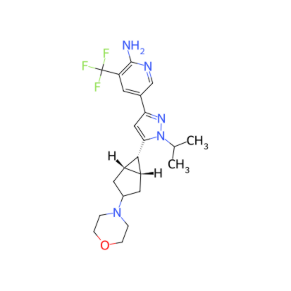 CC(C)n1nc(-c2cnc(N)c(C(F)(F)F)c2)cc1[C@@H]1[C@@H]2CC(N3CCOCC3)C[C@@H]21